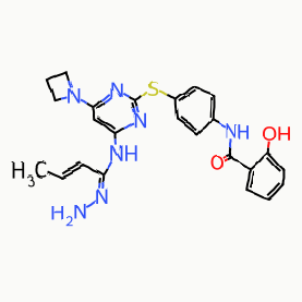 C/C=C/C(=N\N)Nc1cc(N2CCC2)nc(Sc2ccc(NC(=O)c3ccccc3O)cc2)n1